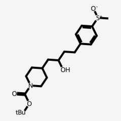 C[S+]([O-])c1ccc(CCC(O)CC2CCN(C(=O)OC(C)(C)C)CC2)cc1